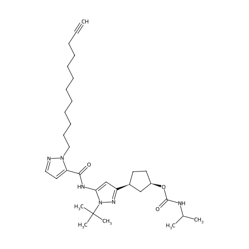 C#CCCCCCCCCCCn1nccc1C(=O)Nc1cc([C@H]2CC[C@@H](OC(=O)NC(C)C)C2)nn1C(C)(C)C